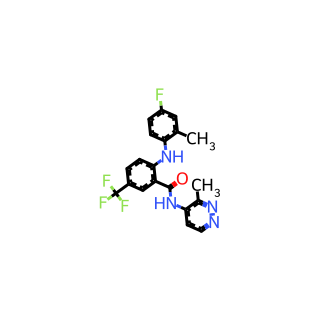 Cc1cc(F)ccc1Nc1ccc(C(F)(F)F)cc1C(=O)Nc1ccnnc1C